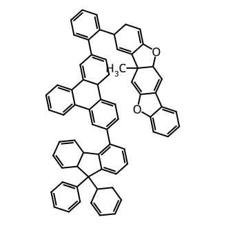 CC12C=c3oc4ccccc4c3=CC1OC1=CCC(c3ccccc3C3=CCC4C(=C3)c3ccccc3-c3cc(-c5cccc6c5C5C=CC=CC5C6(c5ccccc5)C5C=CC=CC5)ccc34)C=C12